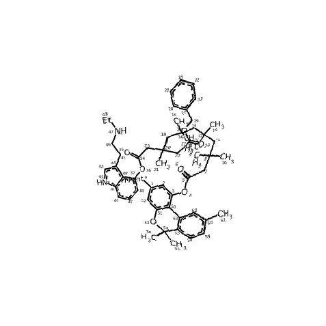 CCCCCc1cc(OC(=O)CC(C)(C)CC(C)(C)CC(C)(C)CC(C)(CC(=O)OCc2ccccc2)CC(=O)Oc2cccc3[nH]cc(CCNCC)c23)c2c(c1)OC(C)(C)c1ccc(C)cc1-2